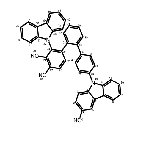 N#Cc1ccc2c(c1)c1ccccc1n2-c1ccc(-c2ccccc2-c2ccc(C#N)c(C#N)c2-n2c3ccccc3c3ccccc32)cc1